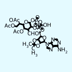 CC(=O)OC[C@@H](OC(C)=O)C1O[C@@H](OP(=O)(O)OP(=O)(O)OC[C@H]2O[C@@H](n3cnc4c(N)ncnc43)C3OC(C)(C)OC32)C(OC(C)=O)C(C=O)[C@@H]1OC(C)=O